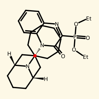 CCOP(=O)(OCC)c1nc2ccccc2n([C@H]2C[C@H]3CCC[C@@H](C2)N3C2CCCCCCC2)c1=O